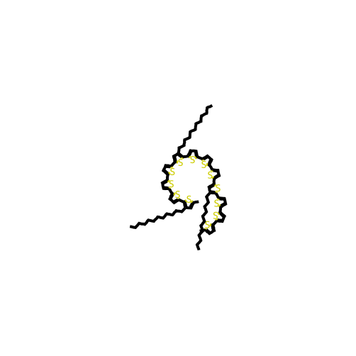 CCCCCCCCCCCCc1cc(C)sc1-c1ccc(-c2ccc(-c3ccc(-c4cc(CCCCCCCCCCCC)c(-c5ccc(-c6ccc(-c7ccc(-c8cc(CCCCCCCCCCCC)c(-c9ccc(-c%10ccc(-c%11ccc(C)s%11)s%10)s9)s8)s7)s6)s5)s4)s3)s2)s1